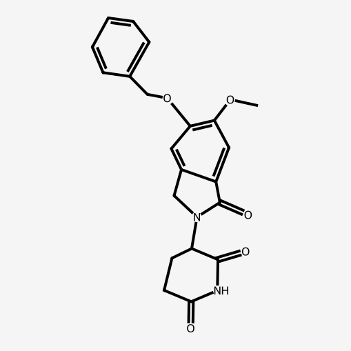 COc1cc2c(cc1OCc1ccccc1)CN(C1CCC(=O)NC1=O)C2=O